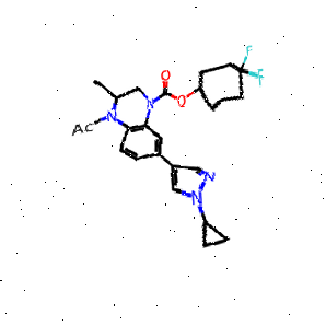 CC(=O)N1c2ccc(-c3cnn(C4CC4)c3)cc2N(C(=O)OC2CCC(F)(F)CC2)CC1C